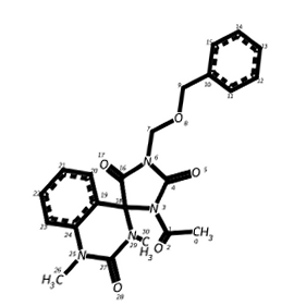 CC(=O)N1C(=O)N(COCc2ccccc2)C(=O)C12c1ccccc1N(C)C(=O)N2C